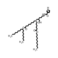 CCCCCCCCCCCOC(=O)CCCCCN(CCCCCCCC(=O)OC(CCCCCCCC)CCCCCCCC)CC(CO)CCCCNC(=O)c1cc[nH]c1